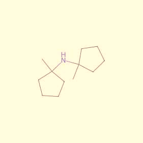 CC1(NC2(C)CCCC2)CCCC1